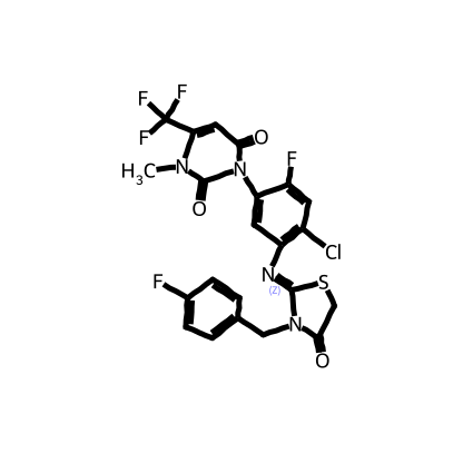 Cn1c(C(F)(F)F)cc(=O)n(-c2cc(/N=C3\SCC(=O)N3Cc3ccc(F)cc3)c(Cl)cc2F)c1=O